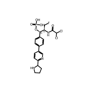 O=C(N[C@H](CF)[C@H](OP(=O)(O)O)c1ccc(-c2ccc(C3CCCN3)nc2)cc1)C(Cl)Cl